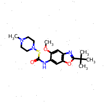 COc1cc2nc(C(C)(C)C)oc2cc1NC(=O)SN1CCN(C)CC1